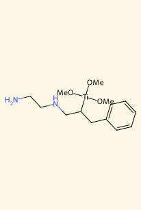 C[O][Ti]([O]C)([O]C)[CH](CNCCN)Cc1ccccc1